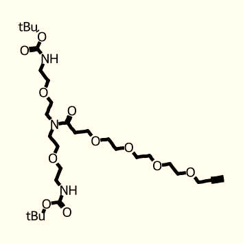 C#CCOCCOCCOCCOCCC(=O)N(CCOCCNC(=O)OC(C)(C)C)CCOCCNC(=O)OC(C)(C)C